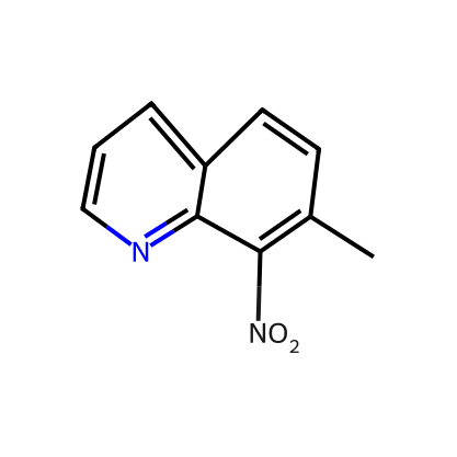 Cc1ccc2cccnc2c1[N+](=O)[O-]